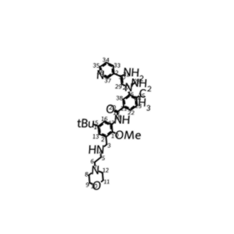 COc1c(CNCCN2CCOCC2)cc(C(C)(C)C)cc1NC(=O)c1ccc(C)c(N(N)/C=C(\N)c2cccnc2)c1